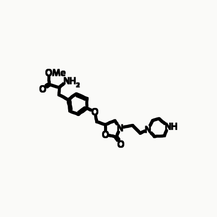 COC(=O)C(N)Cc1ccc(OCC2CN(CCN3CCNCC3)C(=O)O2)cc1